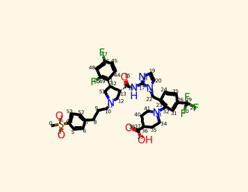 CS(=O)(=O)c1ccc(CCCN2C[C@@H](C(=O)Nc3nccn3Cc3ccc(C(F)(F)F)cc3N3CCC(C(=O)O)CC3)[C@H](c3ccc(F)cc3F)C2)cc1